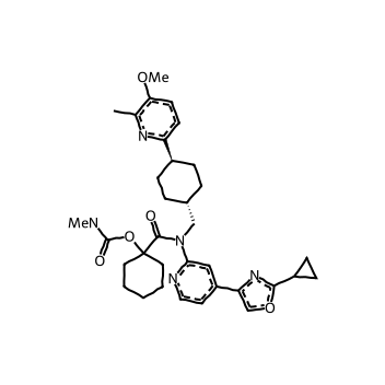 CNC(=O)OC1(C(=O)N(C[C@H]2CC[C@H](c3ccc(OC)c(C)n3)CC2)c2cc(-c3coc(C4CC4)n3)ccn2)CCCCC1